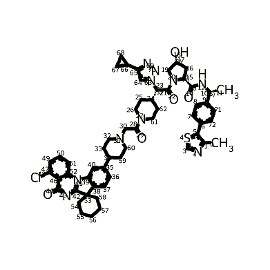 Cc1ncsc1-c1ccc([C@H](C)NC(=O)[C@@H]2C[C@@H](O)CN2C(=O)[C@H](C2CCN(C(=O)CN3CCC(c4ccc5c(c4)-n4c(nc(=O)c6c(Cl)cccc64)C54CCCCC4)CC3)CC2)n2cc(C3CC3)nn2)cc1